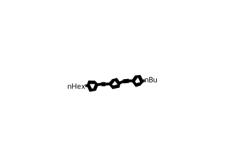 CCCCCCc1ccc(C#Cc2ccc(C#Cc3ccc(CCCC)cc3)cc2)cc1